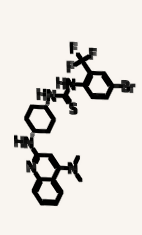 CN(C)c1cc(N[C@H]2CC[C@@H](NC(=S)Nc3ccc(Br)cc3C(F)(F)F)CC2)nc2ccccc12